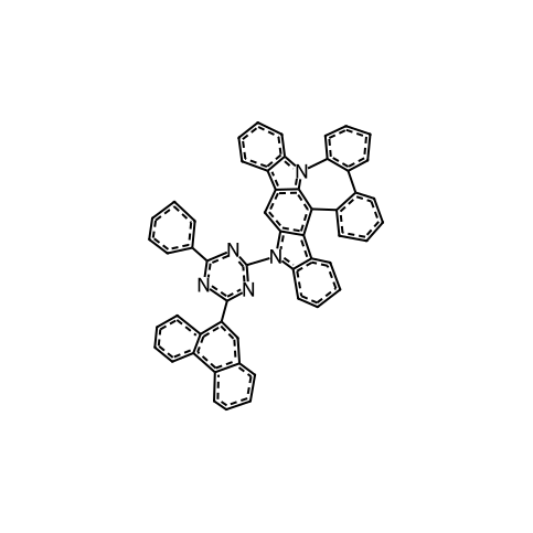 c1ccc(-c2nc(-c3cc4ccccc4c4ccccc34)nc(-n3c4ccccc4c4c5c6c(cc43)c3ccccc3n6-c3ccccc3-c3ccccc3-5)n2)cc1